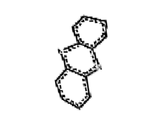 [c]1ccc2nc3ccccc3nc2c1